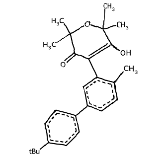 Cc1ccc(-c2ccc(C(C)(C)C)cc2)cc1C1=C(O)C(C)(C)OC(C)(C)C1=O